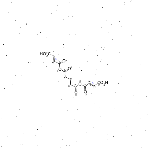 O=C(O)/C=C/C(=O)OC(=O)CCCC(=O)OC(=O)/C=C/C(=O)O